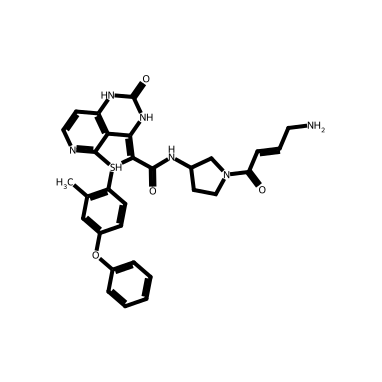 Cc1cc(Oc2ccccc2)ccc1[SH]1C(C(=O)NC2CCN(C(=O)/C=C/CN)C2)=C2NC(=O)Nc3ccnc1c32